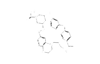 CCc1ccc(Oc2ccc([C@H]3[C@H](O)CN(C(=O)O)C[C@@H]3OCc3ccc4c(c3)N(CCCOC)CCO4)cc2)cc1